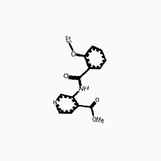 CCOc1ccccc1C(=O)Nc1cnccc1C(=O)OC